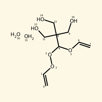 C=COOC(OC=C)C(CO)(CO)CO.O.O